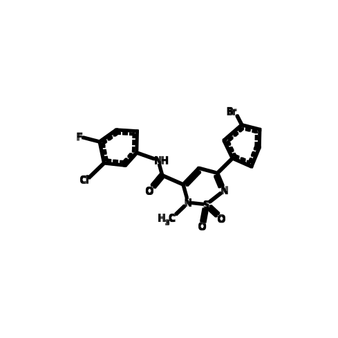 CN1C(C(=O)Nc2ccc(F)c(Cl)c2)=CC(c2cccc(Br)c2)=NS1(=O)=O